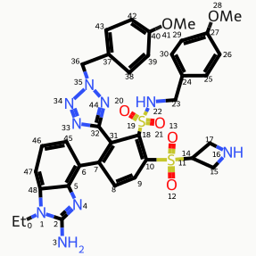 CCn1c(N)nc2c(-c3ccc(S(=O)(=O)C4CNC4)c(S(=O)(=O)NCc4ccc(OC)cc4)c3-c3nnn(Cc4ccc(OC)cc4)n3)cccc21